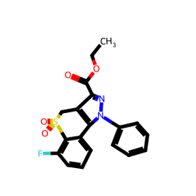 CCOC(=O)c1nn(-c2ccccc2)c2c1CS(=O)(=O)c1c(F)cccc1-2